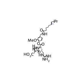 COc1cc(CNC(=O)CCCC/C=C/C(C)C)ccc1OC(=O)[C@H](CCCNC(=N)N)NC(=O)[C@@H](N)CC(=O)O